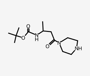 CC(CC(=O)N1CCNCC1)NC(=O)OC(C)(C)C